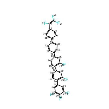 FC(F)=C(F)c1ccc(-c2ccc(-c3ccc(-c4ccc(-c5cc(F)c(F)c(F)c5)c(F)c4)c(F)c3)cc2)cc1